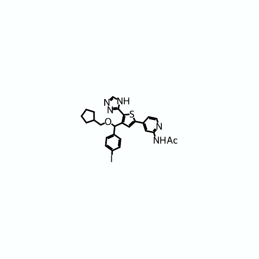 CC(=O)Nc1cc(-c2cc(C(OCC3CCCC3)c3ccc(I)cc3)c(-c3nnc[nH]3)s2)ccn1